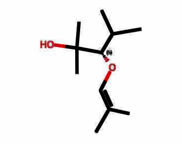 CC(C)=CO[C@@H](C(C)C)C(C)(C)O